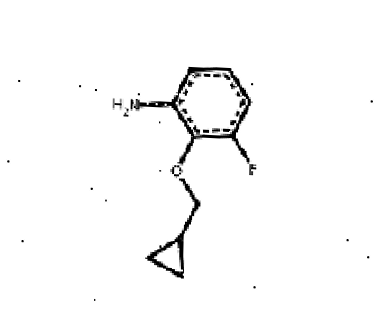 Nc1cccc(F)c1OCC1CC1